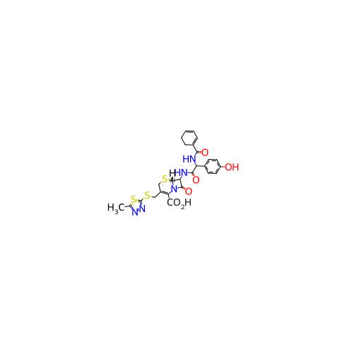 Cc1nnc(SCC2=C(C(=O)O)N3C(=O)C(NC(=O)C(NC(=O)C4=CC=CCC4)c4ccc(O)cc4)[C@H]3SC2)s1